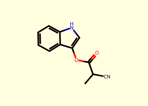 CC(C#N)C(=O)Oc1c[nH]c2ccccc12